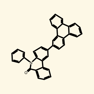 O=c1c2ccccc2c2cc(-c3ccc4c5ccccc5c5ccccc5c4c3)ccc2n1-c1ccccc1